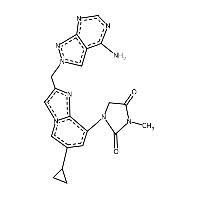 CN1C(=O)CN(c2cc(C3CC3)cn3cc(Cn4cc5c(N)ncnc5n4)nc23)C1=O